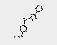 NSc1ccc(C2CC2c2nc(-c3ccccc3)no2)cn1